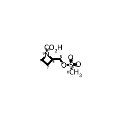 CS(=O)(=O)OCC1CCN1C(=O)O